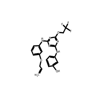 C=CCOc1cccc(Nc2nc(Nc3cccc(O)c3)nc(OCC(F)(F)F)n2)c1